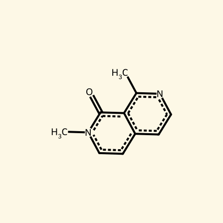 Cc1nccc2ccn(C)c(=O)c12